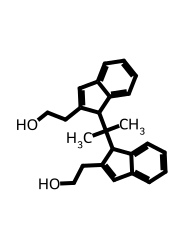 CC(C)(C1C(CCO)=Cc2ccccc21)C1C(CCO)=Cc2ccccc21